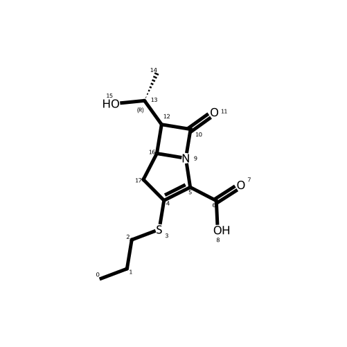 CCCSC1=C(C(=O)O)N2C(=O)C([C@@H](C)O)C2C1